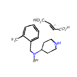 CCCN(Cc1ccccc1C(F)(F)F)C1CCNCC1.O=C(O)/C=C/C(=O)O